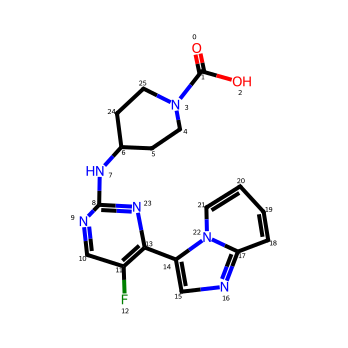 O=C(O)N1CCC(Nc2ncc(F)c(-c3cnc4ccccn34)n2)CC1